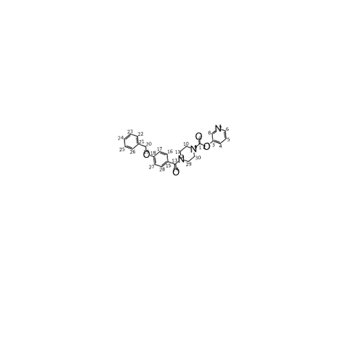 O=C(Oc1cccnc1)N1CCN(C(=O)c2ccc(OCc3ccccc3)cc2)CC1